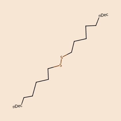 CCCCCCCCCCCCCCCSSCCCCCCCCCCCCCCC